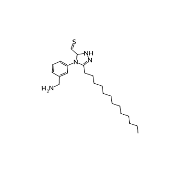 CCCCCCCCCCCCCC1=NNC(C=S)N1c1cccc(CN)c1